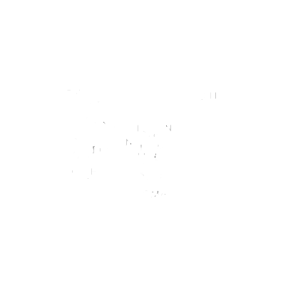 CC[C@H]1CN(C(=O)[C@]2(F)CN([C@H]3CC[C@H](C)CC3)C[C@H]2c2ccc(OC)cc2)C[C@@H]1c1ccc(C(F)(F)F)cc1-c1ccc(C(=O)O)cc1